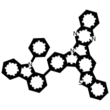 c1ccc(-n2c3ccccc3c3cccc(-c4ccc5c(c4)c4c6sc7ccccc7c6cc6c7nc8ccccc8nc7n5c64)c32)cc1